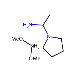 CC(N)N1CCCC1.CO[SiH2]OC